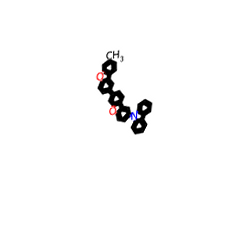 Cc1ccc2c(c1)oc1ccc(-c3ccc4c(c3)oc3ccc(-n5c6ccccc6c6ccccc65)cc34)cc12